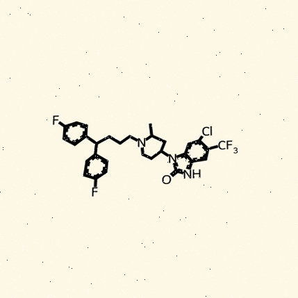 CC1CC(n2c(=O)[nH]c3cc(C(F)(F)F)c(Cl)cc32)CCN1CCCC(c1ccc(F)cc1)c1ccc(F)cc1